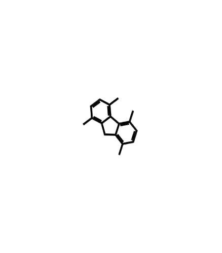 Cc1ccc(C)c2c1Cc1c(C)ccc(C)c1-2